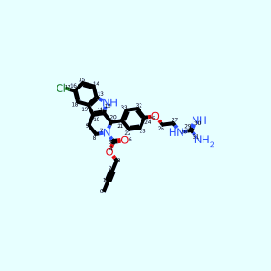 CC#CCOC(=O)N1CCc2c([nH]c3ccc(Cl)cc23)C1c1ccc(OCCNC(=N)N)cc1